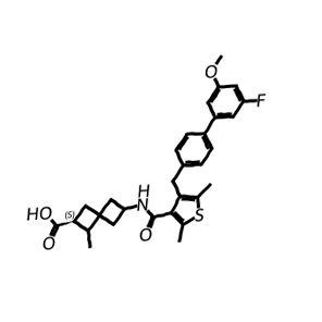 COc1cc(F)cc(-c2ccc(Cc3c(C)sc(C)c3C(=O)NC3CC4(C3)C[C@H](C(=O)O)C4C)cc2)c1